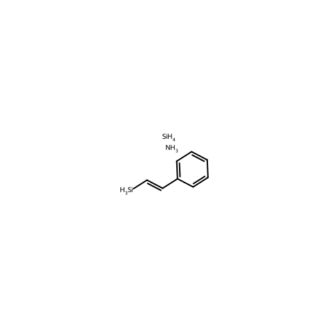 N.[SiH3]C=Cc1ccccc1.[SiH4]